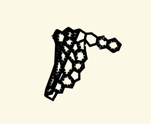 c1ccc2nc3c(nc2c1)CC1c2cc4c5c6c(cc7cc8c9c%10c(cc%11cc%12c%13c(c%14c2c5c2c%14c5c%13c%11c%10c5c5c9c7c6c25)C1(C3)C%12)C8)C4